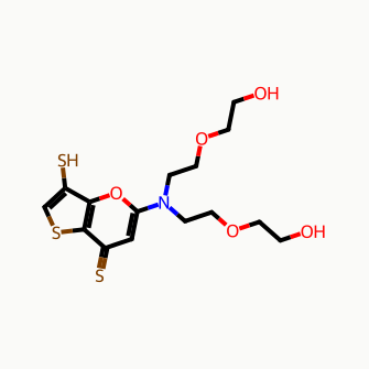 OCCOCCN(CCOCCO)c1cc(=S)c2scc(S)c2o1